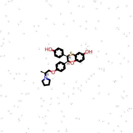 C[C@@H](COc1ccc([C@@H]2Oc3ccc(O)cc3S[C@@H]2c2ccc(O)cc2)cc1)N1CCCC1